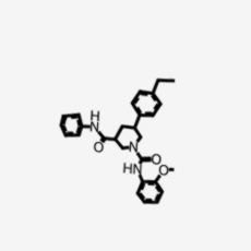 CCc1ccc(C2CC(C(=O)Nc3ccccc3)CN(C(=O)Nc3ccccc3OC)C2)cc1